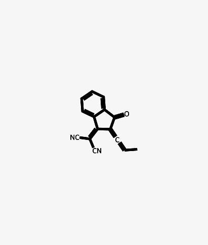 CC=C=C1C(=O)c2ccccc2C1=C(C#N)C#N